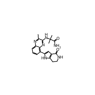 Cc1nc2cccc(-c3cc4c([nH]3)CCNC4=O)c2nc1NC(C)(C)C(N)=O